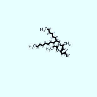 C=C(c1ccc(Br)s1)N(CC(CCCCCC)CCCCCCCC)C(=O)CC